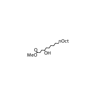 CCCCCCCCCCCCCCC(O)CCC(=O)OC